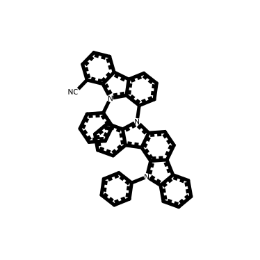 N#Cc1cccc2c3cccc(-n4c5ccccc5c5c4ccc4c6ccccc6n(-c6ccccc6)c45)c3n(-c3ccccc3)c12